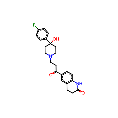 O=C1CCc2cc(C(=O)CCN3CCC(O)(c4ccc(F)cc4)CC3)ccc2N1